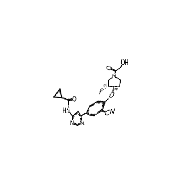 N#Cc1cc(-c2cc(NC(=O)C3CC3)ncn2)ccc1O[C@@H]1CCN(C(=O)CO)C[C@H]1F